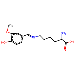 COc1cc(C=NCCCCC(N)C(=O)O)ccc1O